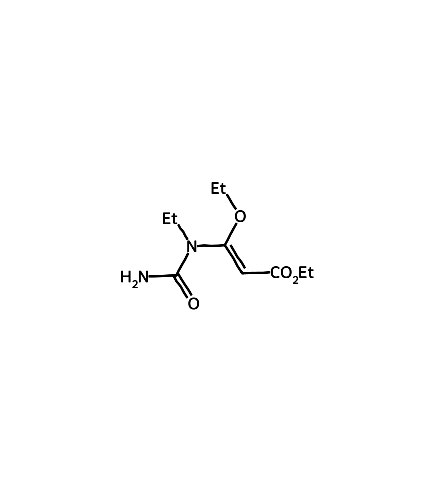 CCOC(=O)C=C(OCC)N(CC)C(N)=O